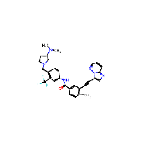 Cc1ccc(C(=O)Nc2ccc(CN3CCC(N(C)C)C3)c(C(F)(F)F)c2)cc1C#Cc1cnc2cccnn12